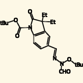 CCC1(CC)C(=O)N(C(=O)OC(C)(C)C)c2ccc(/C=N/N(C=O)OC(C)(C)C)cc21